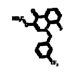 O=C(O)Oc1cn(Cc2cccc(C(F)(F)F)c2)c2c(F)cccc2c1=O